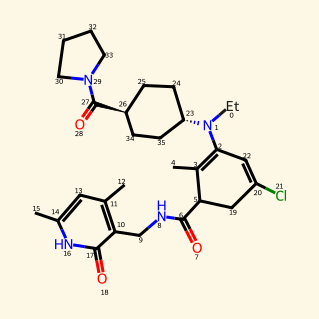 CCN(C1=C(C)C(C(=O)NCc2c(C)cc(C)[nH]c2=O)CC(Cl)=C1)[C@H]1CC[C@H](C(=O)N2CCCC2)CC1